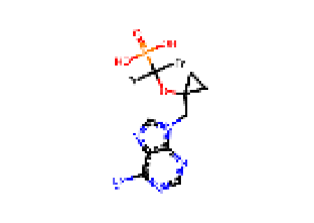 CC(C)C(OC1(Cn2cnc3c(N)ncnc32)CC1)(C(C)C)P(=O)(O)O